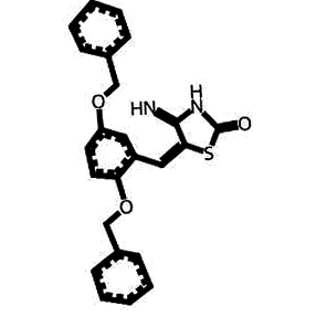 N=C1NC(=O)SC1=Cc1cc(OCc2ccccc2)ccc1OCc1ccccc1